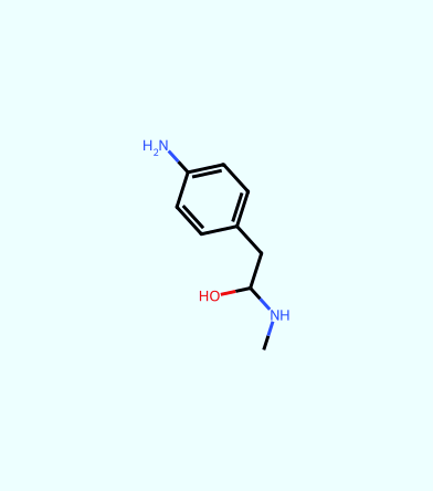 CNC(O)Cc1ccc(N)cc1